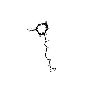 CCCCc1cccc(OCCCCC[C]=O)c1